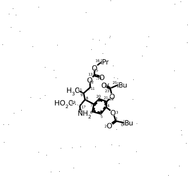 CCC(C)C(=O)Oc1ccc(C(C(C)COC(=O)OC(C)C)[C@H](N)C(=O)O)cc1OC(=O)C(C)CC